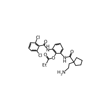 CCC(=O)Oc1c(NC(=O)c2c(Cl)cccc2Cl)cccc1NC(=O)C1(CCN)CCCC1